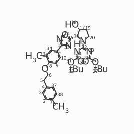 Cc1ccc(CCOc2ccc(-c3noc([C@@H]4[C@@H](O)CCN4/C(=N/C(=O)OC(C)(C)C)NC(=O)OC(C)(C)C)n3)cc2C)cc1